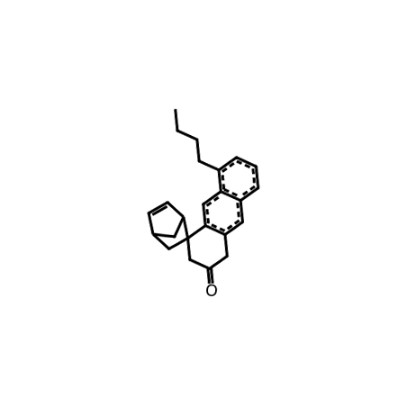 CCCCc1cccc2cc3c(cc12)C1(CC(=O)C3)CC2C=CC1C2